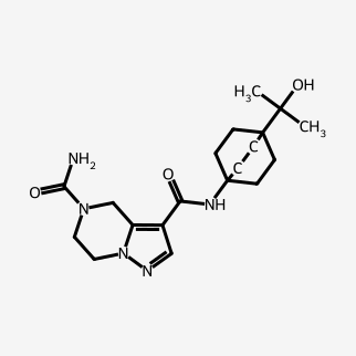 CC(C)(O)C12CCC(NC(=O)c3cnn4c3CN(C(N)=O)CC4)(CC1)CC2